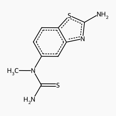 CN(C(N)=S)c1ccc2sc(N)nc2c1